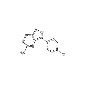 Cc1ncc2cnn(-c3ccc(Cl)cc3)c2n1